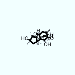 C[C@@H]1C[C@H]2O[C@@]3(C)[C@](C)(O)[C@](C)(C[C@@]3(C)O)[C@@]2(CO)[C@H](O)[C@@H]1O